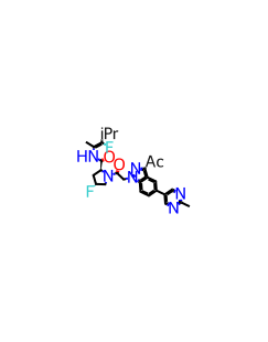 CC(=O)c1nn(CC(=O)N2C[C@H](F)C[C@H]2C(=O)NC(C)=C(F)C(C)C)c2ccc(-c3cnc(C)nc3)cc12